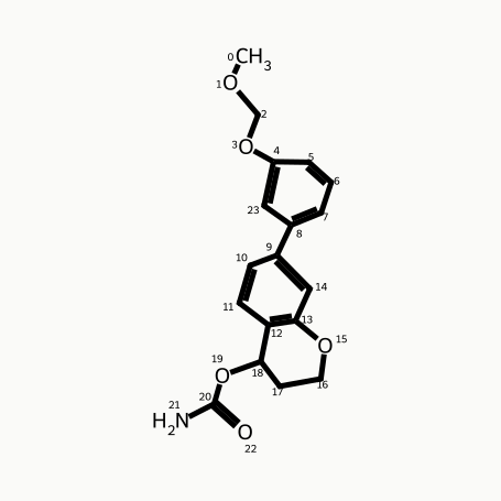 COCOc1cccc(-c2ccc3c(c2)OCCC3OC(N)=O)c1